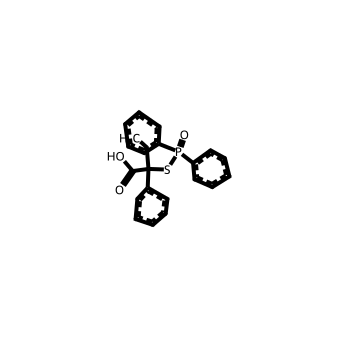 CCC(SP(=O)(c1ccccc1)c1ccccc1)(C(=O)O)c1ccccc1